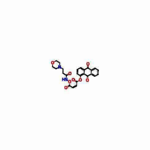 O=C(CCN1CCOCC1)NOC(=O)/C=C\C(=O)Oc1cccc2c1C(=O)c1ccccc1C2=O